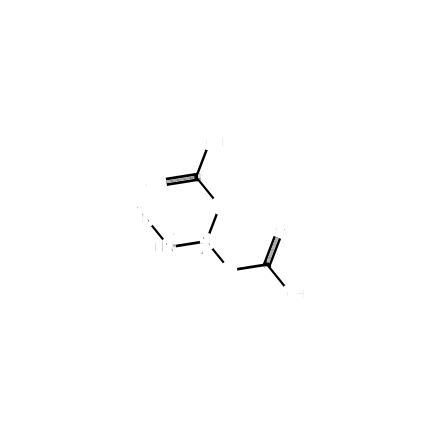 CC(=O)ON(NN)OC(C)=O